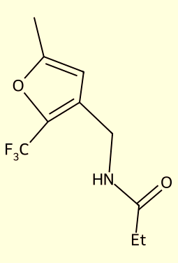 CCC(=O)NCc1cc(C)oc1C(F)(F)F